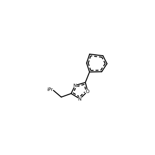 CC(C)Cc1noc(-c2ccccc2)n1